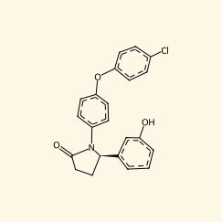 O=C1CC[C@H](c2cccc(O)c2)N1c1ccc(Oc2ccc(Cl)cc2)cc1